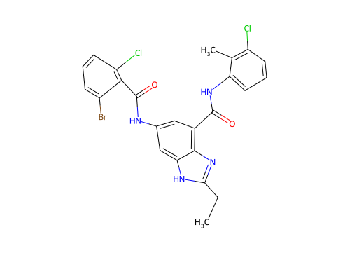 CCc1nc2c(C(=O)Nc3cccc(Cl)c3C)cc(NC(=O)c3c(Cl)cccc3Br)cc2[nH]1